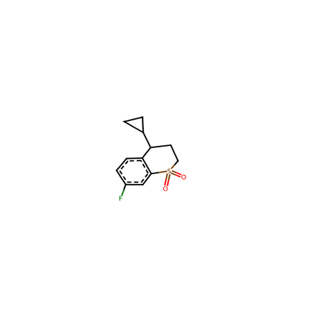 O=S1(=O)CCC(C2CC2)c2ccc(F)cc21